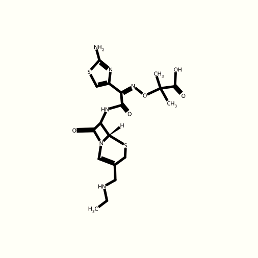 CCNCC1=CN2C(=O)C(NC(=O)/C(=N\OC(C)(C)C(=O)O)c3csc(N)n3)[C@@H]2SC1